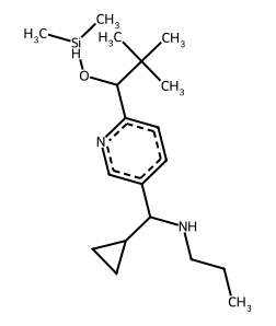 CCCNC(c1ccc(C(O[SiH](C)C)C(C)(C)C)nc1)C1CC1